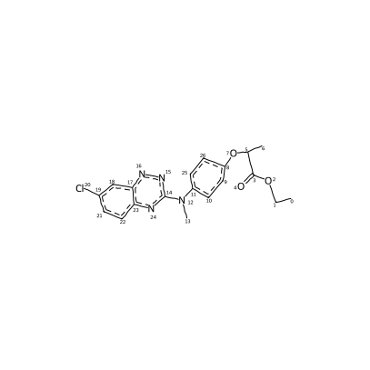 CCOC(=O)C(C)Oc1ccc(N(C)c2nnc3cc(Cl)ccc3n2)cc1